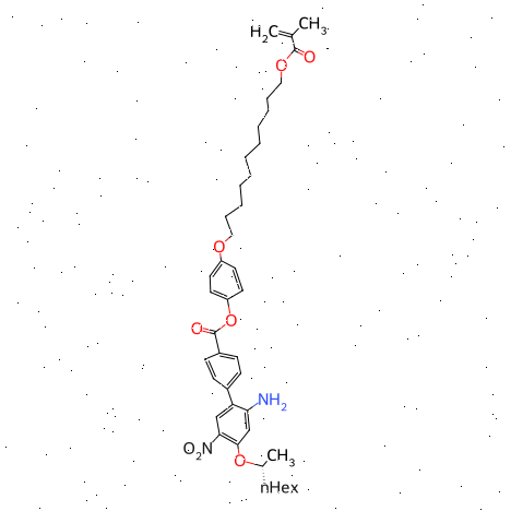 C=C(C)C(=O)OCCCCCCCCCCCOc1ccc(OC(=O)c2ccc(-c3cc([N+](=O)[O-])c(O[C@H](C)CCCCCC)cc3N)cc2)cc1